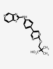 CC(C)(COc1ncc(-c2ccc(Nc3nc4cnccc4s3)cc2)cn1)C(=O)O